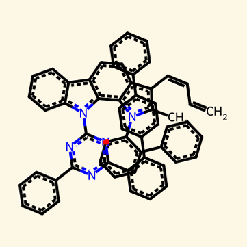 C=C/C=C\c1c(C)n(-c2ccccc2-c2ccccc2)c2c1ccc1c3ccccc3n(-c3nc(-c4ccccc4)nc(-c4ccccc4-c4ccc(-c5ccccc5)cc4)n3)c12